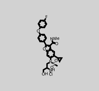 CNC(=O)c1c(-c2ccc(Oc3ccc(F)cc3)cc2)oc2cc(N(CC(CO)NCl)S(C)(=O)=O)c(C3CC3)cc12